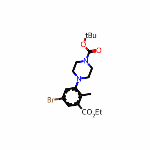 CCOC(=O)c1cc(Br)cc(N2CCN(C(=O)OC(C)(C)C)CC2)c1C